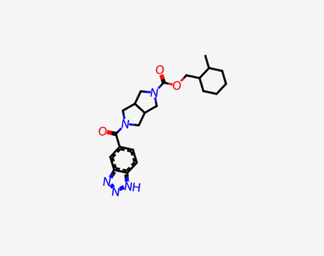 CC1CCCCC1COC(=O)N1CC2CN(C(=O)c3ccc4[nH]nnc4c3)CC2C1